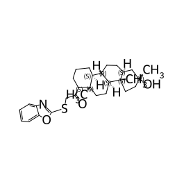 C[C@@]1(O)CC[C@@]2(C)[C@@H](CC[C@@H]3[C@@H]2CC[C@]2(C)[C@@H](C(=O)CSc4nc5ccccc5o4)CCC[C@@H]32)C1